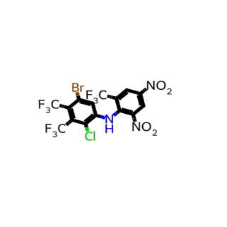 O=[N+]([O-])c1cc([N+](=O)[O-])c(Nc2cc(Br)c(C(F)(F)F)c(C(F)(F)F)c2Cl)c(C(F)(F)F)c1